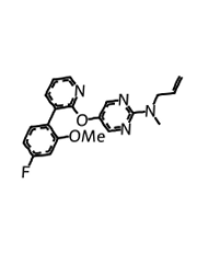 C=CCN(C)c1ncc(Oc2ncccc2-c2ccc(F)cc2OC)cn1